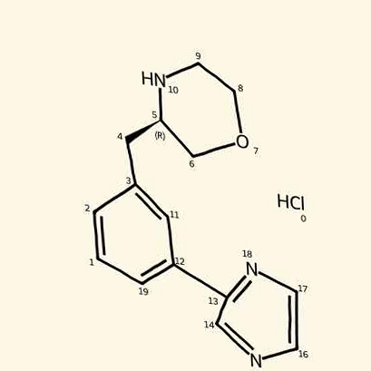 Cl.c1cc(C[C@@H]2COCCN2)cc(-c2cnccn2)c1